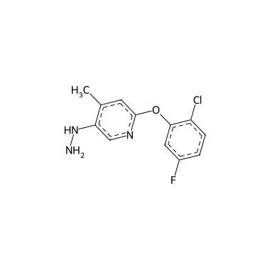 Cc1cc(Oc2cc(F)ccc2Cl)ncc1NN